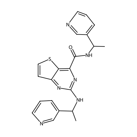 CC(NC(=O)c1nc(NC(C)c2cccnc2)nc2ccsc12)c1cccnc1